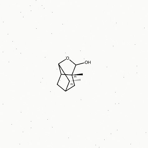 C[C@@H]1C2CC3C1OC(O)[C@]3(C)C2